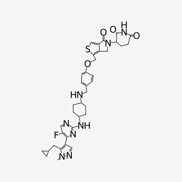 Cn1ncc(-c2nc(NC3CCC(NCc4ccc(OCc5scc6c5CN(C5CCC(=O)NC5=O)C6=O)cc4)CC3)ncc2F)c1CC1CC1